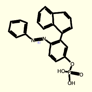 O=P(O)(O)Oc1ccc(/N=N/c2ccccc2)c(-c2cccc3ccccc23)c1